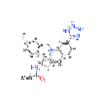 CNC(=O)N[C@H]1CC[C@H](N(C)c2cc(-c3nnn[nH]3)ccc2OC)[C@H]1c1ccc(F)cc1